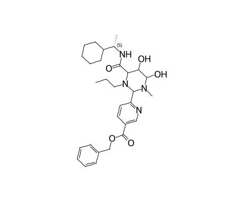 CCCN1C(C(=O)N[C@@H](C)C2CCCCC2)C(O)C(O)N(C)C1c1ccc(C(=O)OCc2ccccc2)cn1